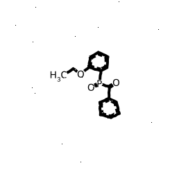 CCOc1ccccc1[P](=O)C(=O)c1ccccc1